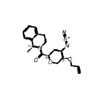 C=CCO[C@H]1CO[C@@H](C(=O)N2CCc3ccccc3[C@@H]2C)CC1N=[N+]=[N-]